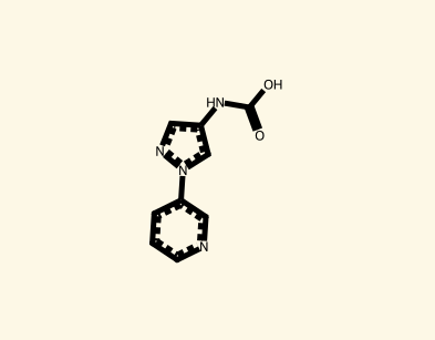 O=C(O)Nc1cnn(-c2cccnc2)c1